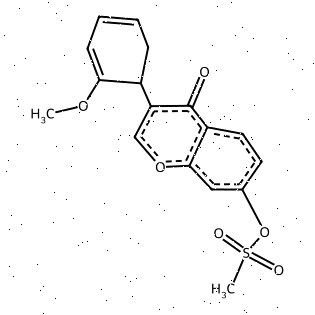 COC1=CC=CCC1c1coc2cc(OS(C)(=O)=O)ccc2c1=O